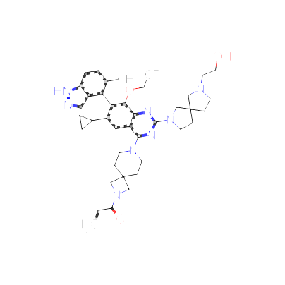 C=CC(=O)N1CC2(CCN(c3nc(N4CCC5(CCN(CCO)C5)C4)nc4c(OCC(F)(F)F)c(-c5c(C)ccc6[nH]ncc56)c(C5CC5)cc34)CC2)C1